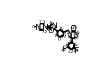 CN1CCN(c2cnc(-c3cccc(Cn4cc(-c5cc(F)cc(F)c5)cnc4=O)c3)o2)CC1